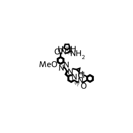 COc1cc(C(=O)N2C[C@H](N)[C@@H]3CC[C@H]2C3)cc2nc(-c3cc4ccc([C@@H](C)NC(=O)c5ccccc5Cl)nc4n3CC3CC3)n(C)c12